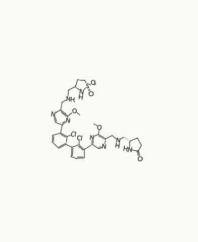 COc1nc(-c2cccc(-c3cccc(-c4cnc(CNC[C@@H]5CCC(=O)N5)c(OC)n4)c3Cl)c2Cl)cnc1CNCC1CCS(=O)(=O)N1